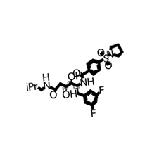 CC(C)CNC(=O)C[C@@H](O)[C@H](O)[C@H](Cc1cc(F)cc(F)c1)NC(=O)c1ccc(S(=O)(=O)N2CCCC2)cc1